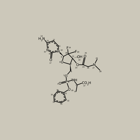 CC(NP(=O)(OC[C@H]1O[C@@H](n2ccc(N)nc2=O)C(F)(F)[C@@]1(O)OC(=O)CN(C)C)Oc1ccccc1)C(=O)O